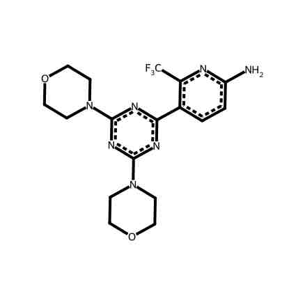 Nc1ccc(-c2nc(N3CCOCC3)nc(N3CCOCC3)n2)c(C(F)(F)F)n1